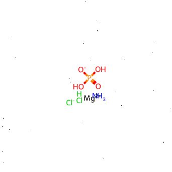 Cl.N.O=P([O-])(O)O.[Cl-].[Mg+2]